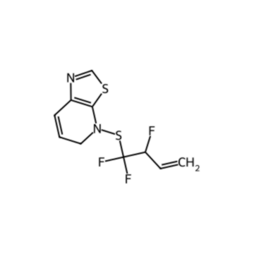 C=CC(F)C(F)(F)SN1CC=Cc2ncsc21